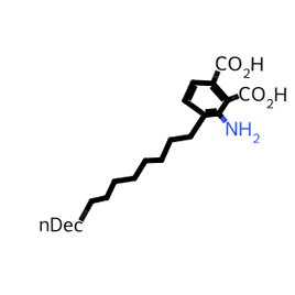 CCCCCCCCCCCCCCCCCCc1ccc(C(=O)O)c(C(=O)O)c1N